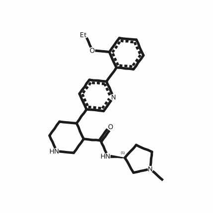 CCOc1ccccc1-c1ccc(C2CCNCC2C(=O)N[C@H]2CCN(C)C2)cn1